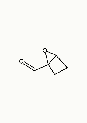 O=CC12CCC1O2